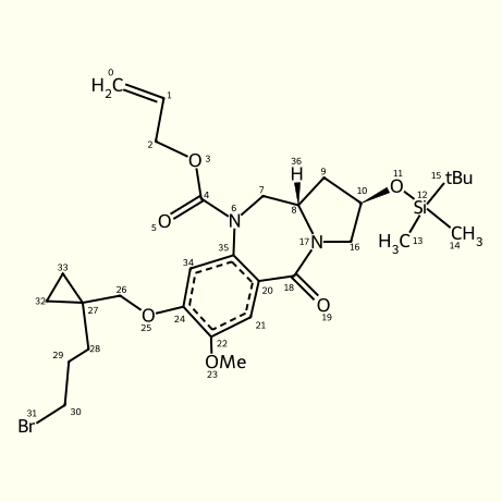 C=CCOC(=O)N1C[C@@H]2C[C@@H](O[Si](C)(C)C(C)(C)C)CN2C(=O)c2cc(OC)c(OCC3(CCCBr)CC3)cc21